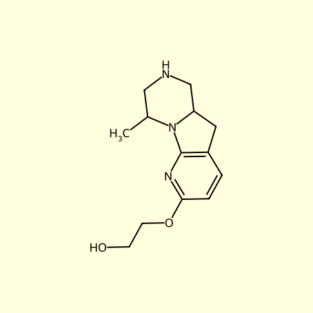 CC1CNCC2Cc3ccc(OCCO)nc3N12